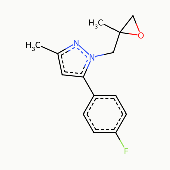 Cc1cc(-c2ccc(F)cc2)n(CC2(C)CO2)n1